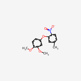 COc1ccc(Oc2cc(C)ccc2[N+](=O)[O-])cc1OC